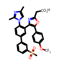 Cc1cn(-c2ccc(-c3cccc(S(C)(=O)=O)c3)cc2-c2nc(CC(=O)O)oc2-c2ccc(OC(F)(F)F)cc2)c(C)n1